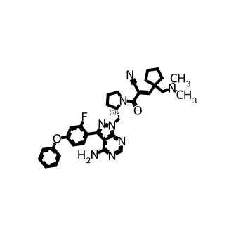 CN(C)CC1(C=C(C#N)C(=O)N2CCC[C@H]2Cn2nc(-c3ccc(Oc4ccccc4)cc3F)c3c(N)ncnc32)CCCC1